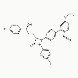 COc1ccc(C=O)c(-c2ccc(C3C(CC[C@H](O)c4ccc(F)cc4)C(=O)N3c3ccc(F)cc3)cc2)c1